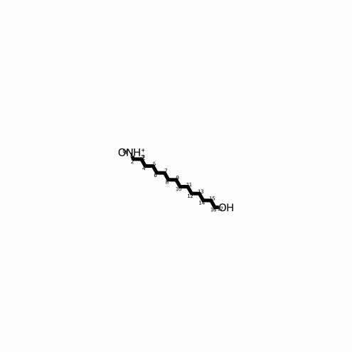 [O-][NH2+]CCCCCCCCCCCCCCCO